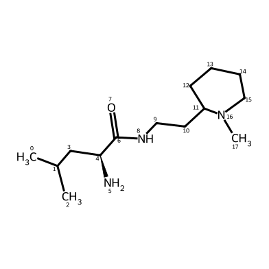 CC(C)C[C@H](N)C(=O)NCCC1CCCCN1C